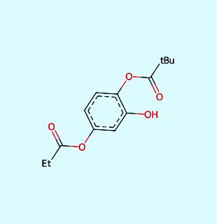 CCC(=O)Oc1ccc(OC(=O)C(C)(C)C)c(O)c1